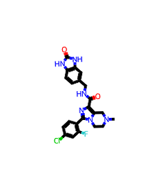 CN1CCn2c(-c3ccc(Cl)cc3F)nc(C(=O)NCc3ccc4[nH]c(=O)[nH]c4c3)c2C1